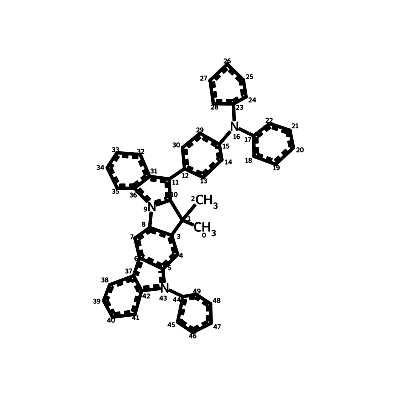 CC1(C)c2cc3c(cc2-n2c1c(-c1ccc(N(c4ccccc4)c4ccccc4)cc1)c1ccccc12)c1ccccc1n3-c1ccccc1